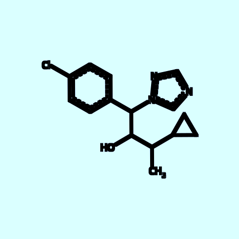 CC(C1CC1)C(O)C(c1ccc(Cl)cc1)n1cncn1